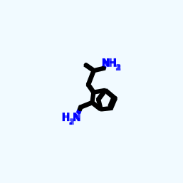 CC(CN)CC1C2C=CC(C2)C1CN